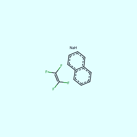 FC(F)=C(F)F.[NaH].c1ccc2ccccc2c1